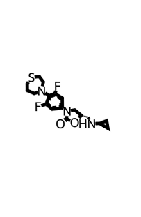 O=C1O[C@@H](CNC2CC2)CN1c1cc(F)c(N2CCCSCC2)c(F)c1